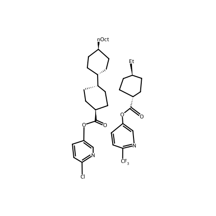 CCCCCCCC[C@H]1CC[C@H]([C@H]2CC[C@H](C(=O)Oc3ccc(Cl)nc3)CC2)CC1.CC[C@H]1CC[C@H](C(=O)Oc2ccc(C(F)(F)F)nc2)CC1